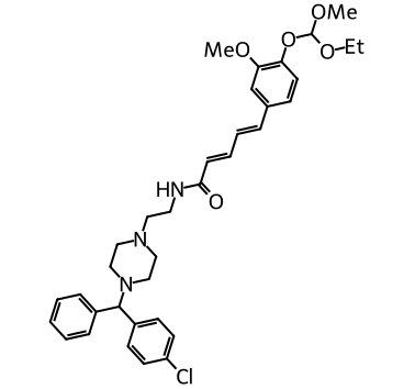 CCOC(OC)Oc1ccc(C=CC=CC(=O)NCCN2CCN(C(c3ccccc3)c3ccc(Cl)cc3)CC2)cc1OC